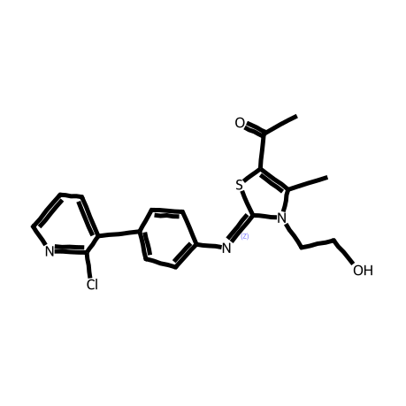 CC(=O)c1s/c(=N\c2ccc(-c3cccnc3Cl)cc2)n(CCO)c1C